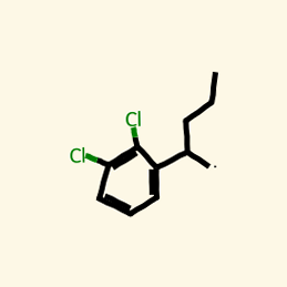 [CH2]C(CCC)c1cccc(Cl)c1Cl